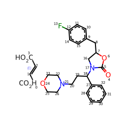 O=C(O)/C=C/C(=O)O.O=C1OC(Cc2ccc(F)cc2)CN1C(CCN1CCOCC1)c1ccccc1